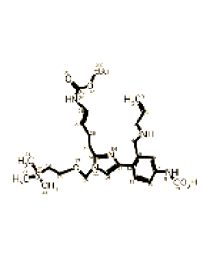 C=CCNCc1cc(NC(=O)O)ccc1-c1cn(COCC[Si](C)(C)C)c(CCC=CNC(=O)OC(C)(C)C)n1